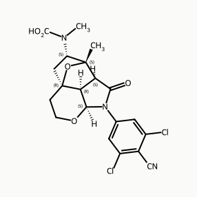 CN(C(=O)O)[C@H]1C[C@@]23CCO[C@H]4[C@@H]2[C@H](C(=O)N4c2cc(Cl)c(C#N)c(Cl)c2)[C@]1(C)O3